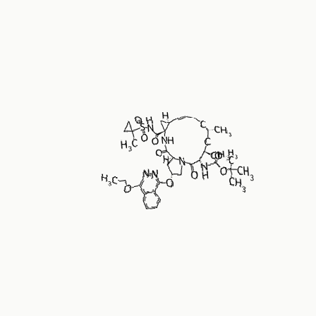 CCOc1nnc(O[C@@H]2C[C@H]3C(=O)N[C@]4(C(=O)NS(=O)(=O)C5(C)CC5)C[C@H]4/C=C\CC[C@H](C)C[C@@H](C)[C@H](NC(=O)OC(C)(C)C)C(=O)N3C2)c2ccccc12